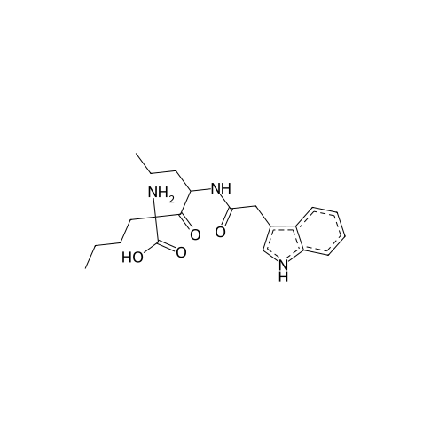 CCCCC(N)(C(=O)O)C(=O)C(CCC)NC(=O)Cc1c[nH]c2ccccc12